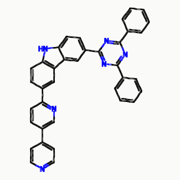 c1ccc(-c2nc(-c3ccccc3)nc(-c3ccc4[nH]c5ccc(-c6ccc(-c7ccncc7)cn6)cc5c4c3)n2)cc1